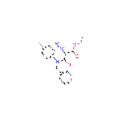 CCOC(=O)C(=[N+]=[N-])C(=O)N(Cc1ccccc1)c1ccc(C)cc1